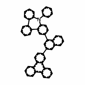 c1ccc(N2c3ccccc3-c3ccccc3-c3cc(-c4cc(-c5ccc6c7ccccc7c7ccccc7c6c5)cc5ccccc45)ccc32)cc1